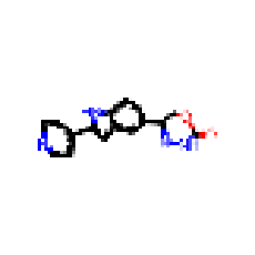 O=C1NN=C(c2ccc3[nH]c(-c4ccncc4)cc3c2)CO1